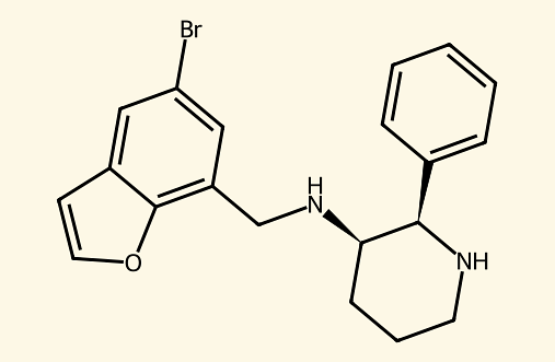 Brc1cc(CN[C@@H]2CCCN[C@@H]2c2ccccc2)c2occc2c1